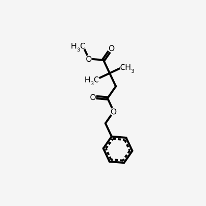 COC(=O)C(C)(C)CC(=O)OCc1ccccc1